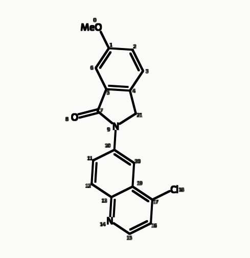 COc1ccc2c(c1)C(=O)N(c1ccc3nccc(Cl)c3c1)C2